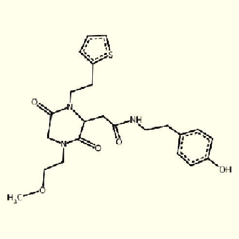 COCCN1CC(=O)N(CCc2cccs2)C(CC(=O)NCCc2ccc(O)cc2)C1=O